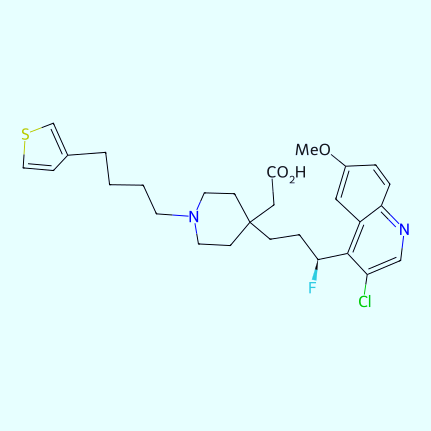 COc1ccc2ncc(Cl)c([C@@H](F)CCC3(CC(=O)O)CCN(CCCCc4ccsc4)CC3)c2c1